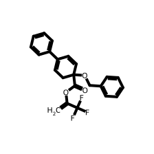 C=C(OC(=O)C1(OCc2ccccc2)C=CC(c2ccccc2)=CC1)C(F)(F)F